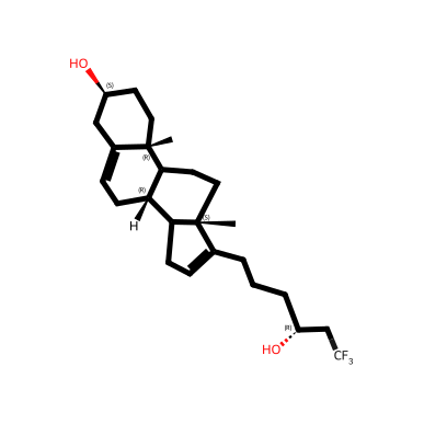 C[C@]12CC[C@H](O)CC1=CC[C@@H]1C2CC[C@]2(C)C(CCC[C@@H](O)CC(F)(F)F)=CCC12